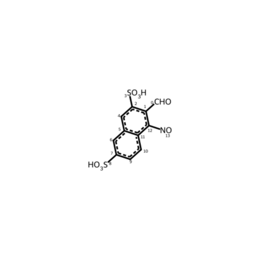 O=Cc1c(S(=O)(=O)O)cc2cc(S(=O)(=O)O)ccc2c1N=O